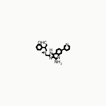 CN(Cc1nc2c(N)nc3cc(-c4cccnc4)ccc3c2[nH]1)CC(CC=O)c1ccccc1